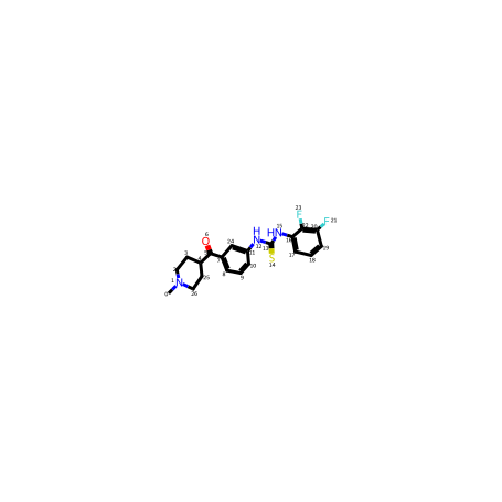 CN1CCC(C(=O)c2cccc(NC(=S)Nc3cccc(F)c3F)c2)CC1